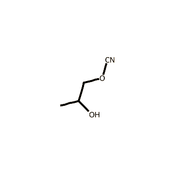 CC(O)COC#N